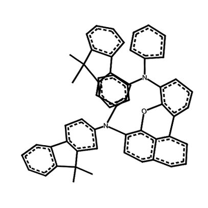 CC1(C)C2=CC(N(c3ccc4c(c3)C(C)(C)c3ccccc3-4)c3ccc4cccc5c4c3Oc3c-5cccc3N(c3ccccc3)c3ccccc3)=CCC2c2ccccc21